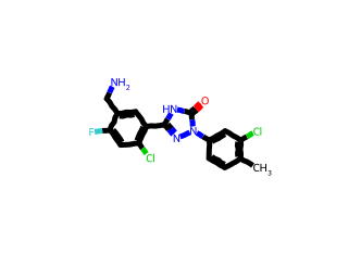 Cc1ccc(-n2nc(-c3cc(CN)c(F)cc3Cl)[nH]c2=O)cc1Cl